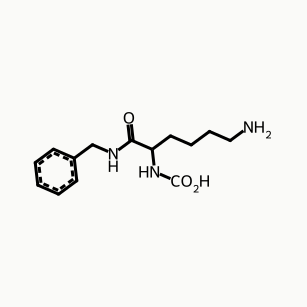 NCCCCC(NC(=O)O)C(=O)NCc1ccccc1